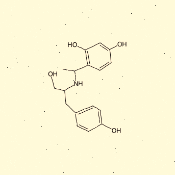 CC(NC(CO)Cc1ccc(O)cc1)c1ccc(O)cc1O